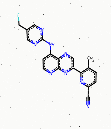 Cc1ccc(C#N)nc1-c1cnc2c(Nc3ncc(CF)cn3)ccnc2n1